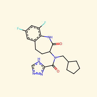 O=C1Nc2c(F)cc(F)cc2CCC1N(CC1CCCC1)C(=O)c1nnc[nH]1